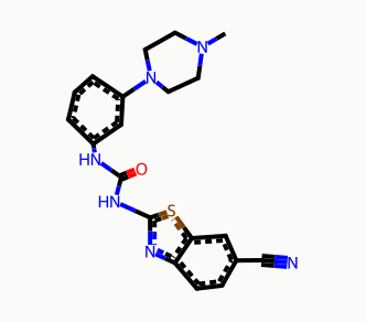 CN1CCN(c2cccc(NC(=O)Nc3nc4ccc(C#N)cc4s3)c2)CC1